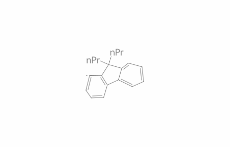 CCCC1(CCC)c2[c]cccc2-c2ccccc21